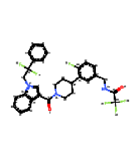 O=C(c1cn(CC(F)(F)c2ccccc2)c2ccccc12)N1CCC(c2cc(CNC(=O)C(F)(F)F)ccc2F)CC1